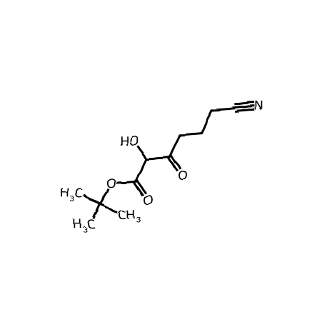 CC(C)(C)OC(=O)C(O)C(=O)CCCC#N